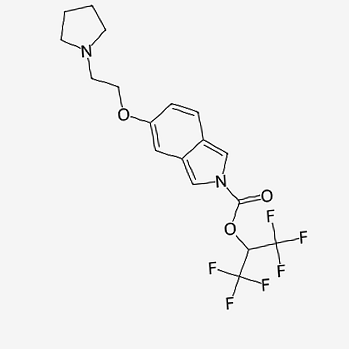 O=C(OC(C(F)(F)F)C(F)(F)F)n1cc2ccc(OCCN3CCCC3)cc2c1